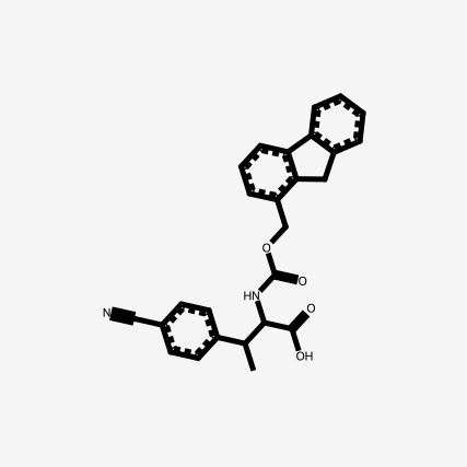 CC(c1ccc(C#N)cc1)C(NC(=O)OCc1cccc2c1Cc1ccccc1-2)C(=O)O